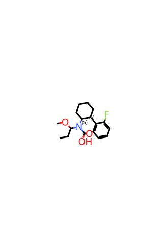 CCC(OC)N(C(=O)O)[C@H]1CCCC[C@H]1c1ccccc1F